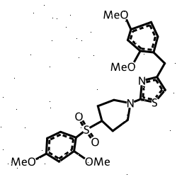 COc1ccc(Cc2csc(N3CCC(S(=O)(=O)c4ccc(OC)cc4OC)CC3)n2)c(OC)c1